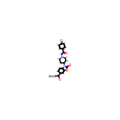 CNC(=O)c1ccc2c(c1)oc(=O)n2C1CCN(CC(=O)c2ccc(Cl)cc2)CC1